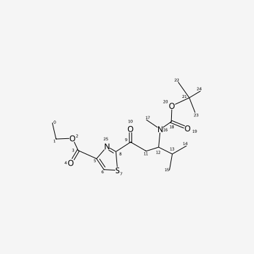 CCOC(=O)c1csc(C(=O)CC(C(C)C)N(C)C(=O)OC(C)(C)C)n1